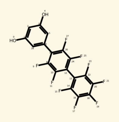 Oc1cc(O)cc(-c2c(F)c(F)c(-c3c(F)c(F)c(F)c(F)c3F)c(F)c2F)c1